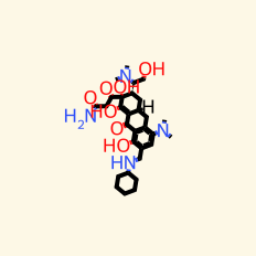 CN(C)c1cc(CNC2CCCCC2)c(O)c2c1C[C@H]1C[C@@H](C(CO)N(C)C)[C@@](O)(C(=O)CC(N)=O)C(O)=C1C2=O